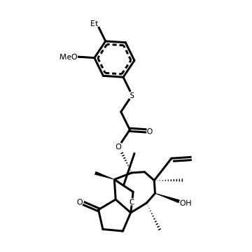 C=C[C@]1(C)C[C@@H](OC(=O)CSc2ccc(CC)c(OC)c2)[C@]2(C)C(C)CCC3(CCC(=O)C32)[C@@H](C)[C@@H]1O